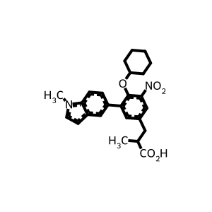 CC(Cc1cc(-c2ccc3c(ccn3C)c2)c(OC2CCCCC2)c([N+](=O)[O-])c1)C(=O)O